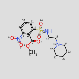 COC(=O)c1c([N+](=O)[O-])cccc1S(=O)(=O)NCCN1CCCCC1